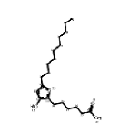 CCCCCCCCCCc1cc(O)c(CCCCCC(=O)O)s1